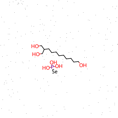 OCCCCCCCCCC(CO)CO.OP(O)(O)=[Se]